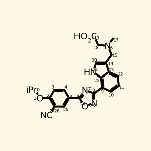 CC(C)Oc1ccc(-c2nc(-c3cccc4c(CN(C)CC(=O)O)c[nH]c34)no2)cc1C#N